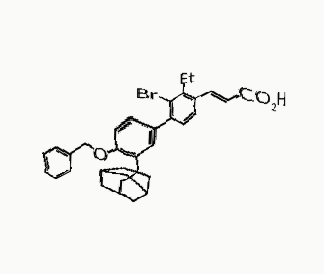 CCc1c(C=CC(=O)O)ccc(-c2ccc(OCc3ccccc3)c(C34CC5CC(CC(C5)C3)C4)c2)c1Br